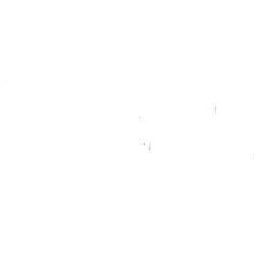 O=C(O)C(O)C1CCCN1C(=O)c1ccc(Cl)cc1